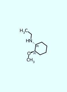 CCN[C@@H]1CCCC[C@H]1OC